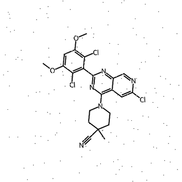 COc1cc(OC)c(Cl)c(-c2nc(N3CCC(C)(C#N)CC3)c3cc(Cl)ncc3n2)c1Cl